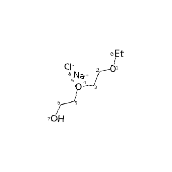 CCOCCOCCO.[Cl-].[Na+]